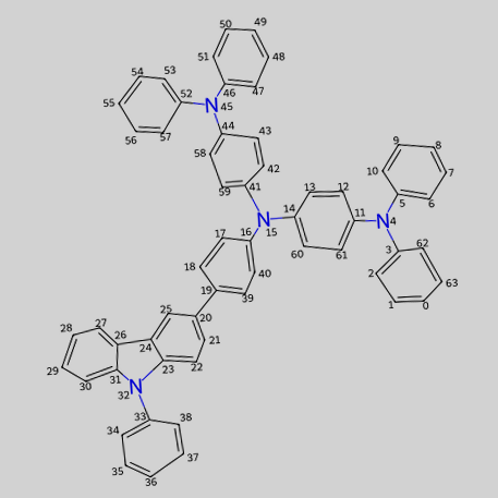 c1ccc(N(c2ccccc2)c2ccc(N(c3ccc(-c4ccc5c(c4)c4ccccc4n5-c4ccccc4)cc3)c3ccc(N(c4ccccc4)c4ccccc4)cc3)cc2)cc1